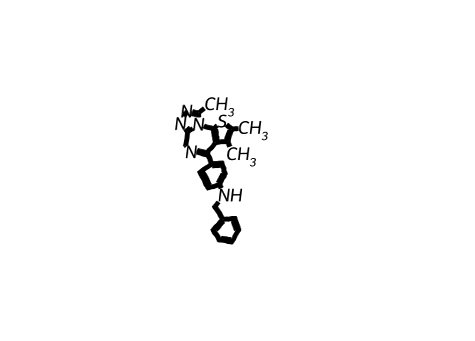 Cc1sc2c(c1C)C(c1ccc(NCc3ccccc3)cc1)=NCc1nnc(C)n1-2